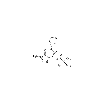 Cn1nnn(-c2cc(C(C)(C)C)ccc2O[C@@H]2CCOC2)c1=O